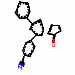 N#Cc1ccc(-c2cccc(-c3ccccc3)c2)cc1.O=C1C=CC=C1